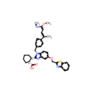 C=N/C(=C\C=C(/C)c1ccc(Cn2c([C@H]3CCCC[C@H]3C(=O)O)nc3cc(OCc4nc5ccccc5s4)ccc32)cc1)OC